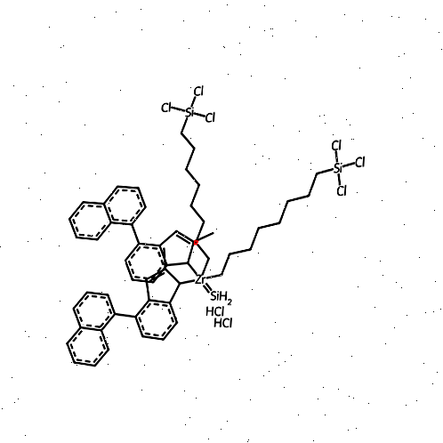 CC1=Cc2c(-c3cccc4ccccc34)cccc2[CH]1[Zr](=[SiH2])([CH2]CCCCCCC[Si](Cl)(Cl)Cl)([CH2]CCCCCCC[Si](Cl)(Cl)Cl)[CH]1C(C)=Cc2c(-c3cccc4ccccc34)cccc21.Cl.Cl